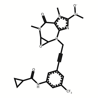 CN1C(=O)c2c(nc([S+](C)[O-])n2C)N(CC#Cc2cc(NC(=O)C3CC3)cc(C(F)(F)F)c2)C2OC21